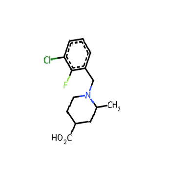 CC1CC(C(=O)O)CCN1Cc1cccc(Cl)c1F